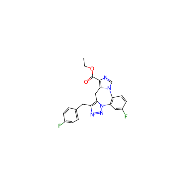 CCOC(=O)c1ncn2c1Cc1c(Cc3ccc(F)cc3)nnn1-c1cc(F)ccc1-2